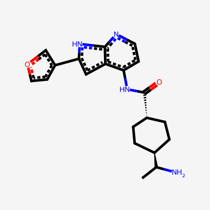 CC(N)[C@H]1CC[C@H](C(=O)Nc2ccnc3[nH]c(-c4ccoc4)cc23)CC1